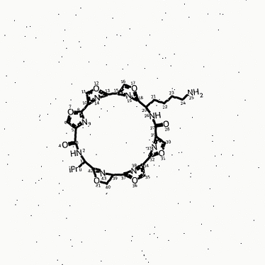 CC(C)C1NC(=O)c2coc(n2)-c2coc(n2)-c2coc(n2)C(CCCCN)NC(=O)c2coc(n2)-c2coc(n2)C2COC1=N2